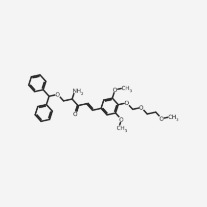 COCCOCOc1c(OC)cc(C=CC(=O)C(N)COC(c2ccccc2)c2ccccc2)cc1OC